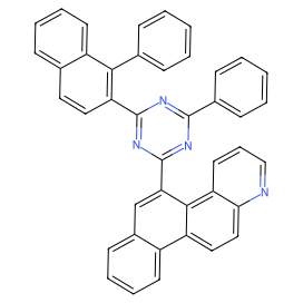 c1ccc(-c2nc(-c3ccc4ccccc4c3-c3ccccc3)nc(-c3cc4ccccc4c4ccc5ncccc5c34)n2)cc1